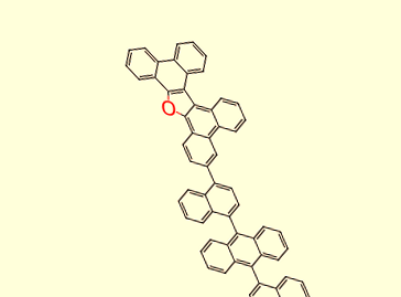 c1ccc2c(-c3c4ccccc4c(-c4ccc(-c5ccc6c(c5)c5ccccc5c5c6oc6c7ccccc7c7ccccc7c65)c5ccccc45)c4ccccc34)cccc2c1